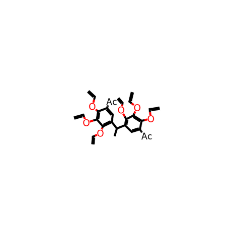 C=COc1c(C(C)=O)cc(C(C)c2cc(C(C)=O)c(OC=C)c(OC=C)c2OC=C)c(OC=C)c1OC=C